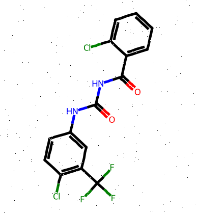 O=C(NC(=O)c1ccccc1Cl)Nc1ccc(Cl)c(C(F)(F)F)c1